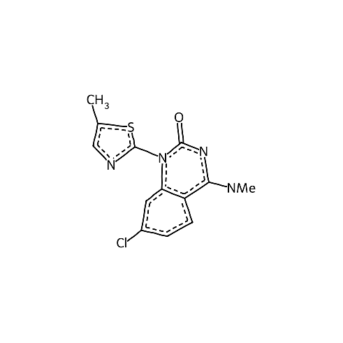 CNc1nc(=O)n(-c2ncc(C)s2)c2cc(Cl)ccc12